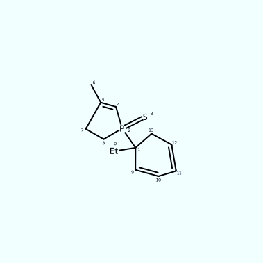 CCC1(P2(=S)C=C(C)CC2)C=CC=CC1